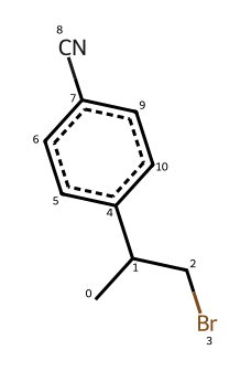 CC(CBr)c1ccc(C#N)cc1